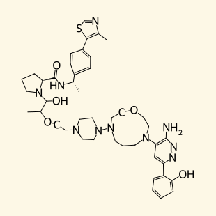 Cc1ncsc1-c1ccc([C@H](C)NC(=O)[C@@H]2CCCN2C(O)C(C)OCCN2CCN(N3CCCN(c4cc(-c5ccccc5O)nnc4N)CCOCC3)CC2)cc1